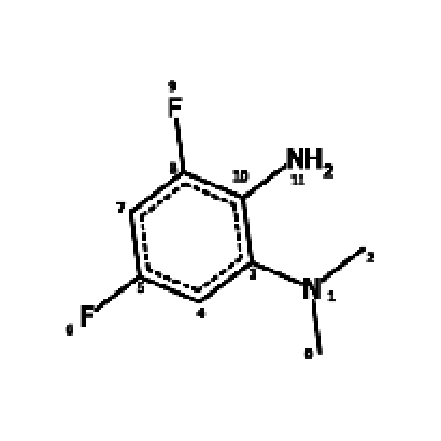 CN(C)c1cc(F)cc(F)c1N